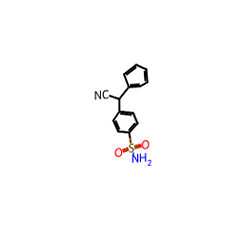 N#CC(c1ccccc1)c1ccc(S(N)(=O)=O)cc1